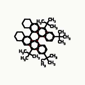 CC(C)(C)c1ccc(P(c2ccc(C(C)(C)C)cc2)c2ccc3c(c2-c2c(P(c4ccc(C(C)(C)C)cc4)c4ccc(C(C)(C)C)cc4)ccc4c2CCCC4)CCCC3)cc1